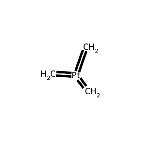 [CH2]=[Pt](=[CH2])=[CH2]